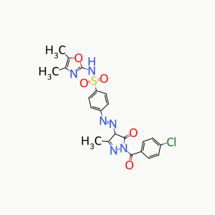 CC1=NN(C(=O)c2ccc(Cl)cc2)C(=O)C1/N=N/c1ccc(S(=O)(=O)Nc2nc(C)c(C)o2)cc1